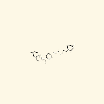 Cc1ccc2c(c1)CSC(N(C)C1CCN(CCCOCCc3ccc(F)cc3)CC1)=N2